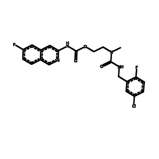 CN(CCOC(=O)Nc1cc2cc(F)ccc2cn1)C(=O)NCc1cc(Cl)ccc1F